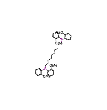 COc1ccccc1P(CCCCCCCCCCP(c1ccccc1OC)c1ccccc1OC)c1ccccc1OC